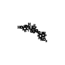 CC(C)N[C@@H](Cc1ccc(O)cc1)C(=O)N1CCC[C@H]1C(=O)OCOc1ccc([N+](=O)[O-])c2cccnc12